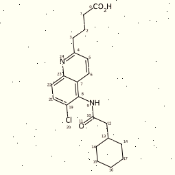 O=C(O)CCCc1ccc2c(NC(=O)CC3CCCCC3)c(Cl)ccc2n1